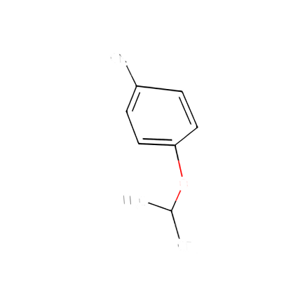 [C-]#[N+]c1ccc(OC(C)C(F)(F)F)cc1